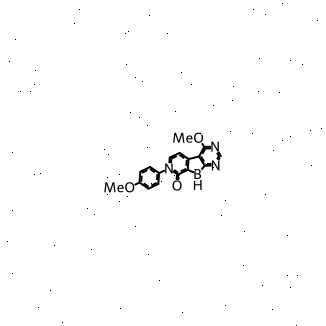 COc1ccc(-n2ccc3c(c2=O)Bc2ncnc(OC)c2-3)cc1